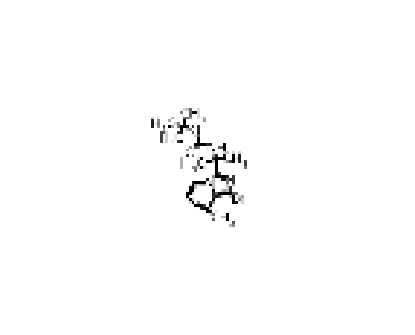 Cc1cccn2c(C(C)(C)NC(=O)OC(C)(C)C)nc(Br)c12